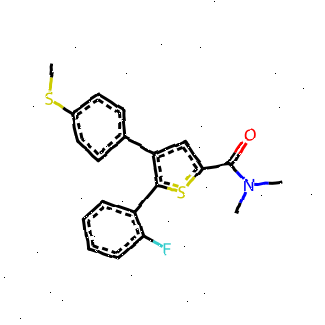 CSc1ccc(-c2cc(C(=O)N(C)C)sc2-c2ccccc2F)cc1